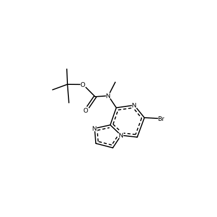 CN(C(=O)OC(C)(C)C)c1nc(Br)cn2ccnc12